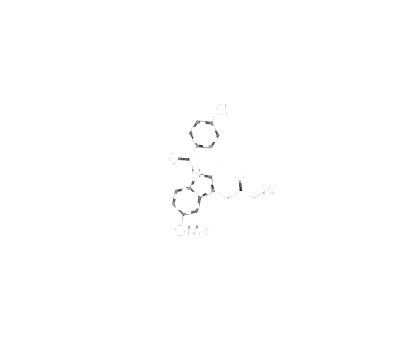 COc1ccc2c(c1)c(CC(=O)CBr)c(C)n2C(=O)c1ccc(Cl)cc1